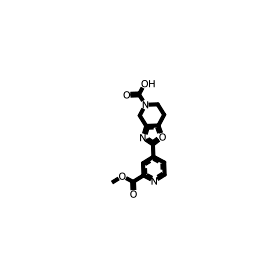 COC(=O)c1cc(-c2nc3c(o2)CCN(C(=O)O)C3)ccn1